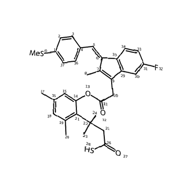 CSc1ccc(C=C2C(C)=C(CC(=O)Oc3cc(C)cc(C)c3C(C)(C)CC(=O)S)c3cc(F)ccc32)cc1